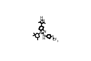 Cc1n[nH]c(C)c1-c1ccc2c(c1)nc(Nc1ccc(SC(F)(F)F)cc1)n2C1CC(C)CC(C)(C)C1